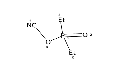 CCP(=O)(CC)OC#N